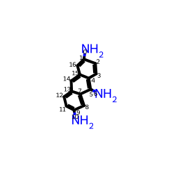 Nc1ccc2c(N)c3cc(N)ccc3cc2c1